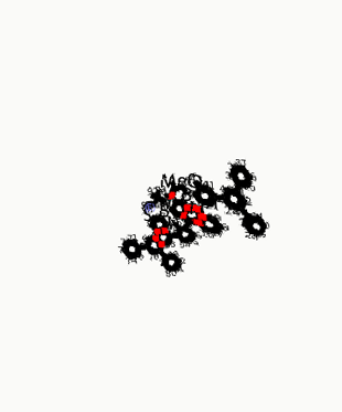 CC=C(C)[C@H](C)B1c2cc3c(cc2N(c2ccccc2)c2cc(-c4cc(-c5ccccc5)cc(-c5ccccc5)c4)cc(OC)c21)N(c1c(-c2ccccc2)cccc1-c1ccccc1)c1cc(-c2cc(-c4ccccc4)cc(-c4ccccc4)c2)cc2c1B3[C@@H](C)C(C)(C)/C=C/S2